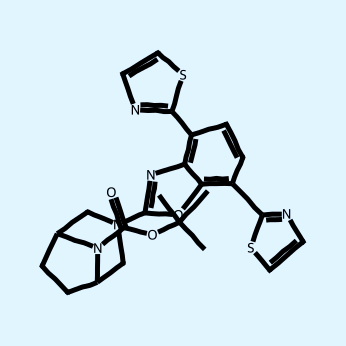 CC(C)(C)OC(=O)N1C2CCC1CN(c1nc3c(-c4nccs4)ccc(-c4nccs4)c3o1)C2